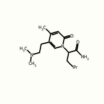 Cc1cc(=O)n(C(CC(C)C)C(N)=O)cc1CCN(C)C